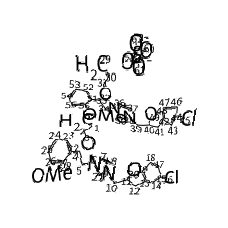 C=CCOC(C[n+]1ccn(CC2Cc3cc(Cl)ccc3O2)c1)c1ccccc1OC.C=CCOC(C[n+]1ccn(CC2Cc3cc(Cl)ccc3O2)c1)c1ccccc1OC.O=S(=O)([O-])[O-]